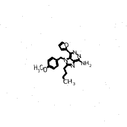 CCCCc1nc2c(N)nnc(-c3ccco3)c2n1Cc1ccc(OC)cc1